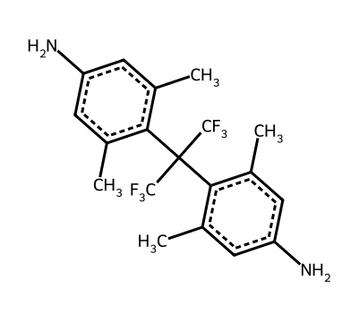 Cc1cc(N)cc(C)c1C(c1c(C)cc(N)cc1C)(C(F)(F)F)C(F)(F)F